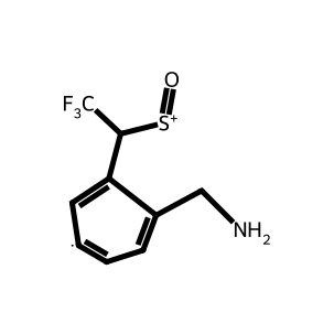 NCc1cc[c]cc1C([S+]=O)C(F)(F)F